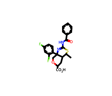 CC1SC(NC(=O)c2ccccc2)=NC2(c3ccc(F)cc3F)COC(C(=O)O)CC12